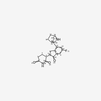 O=C1CCC(N2Cc3c(cc(F)cc3N3CC4CCC3CN4)C2=O)C(=O)N1